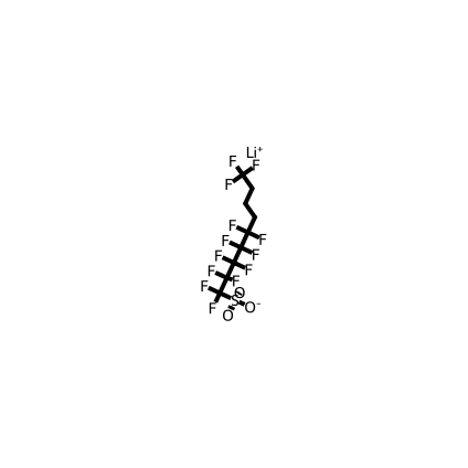 O=S(=O)([O-])C(F)(F)C(F)(F)C(F)(F)C(F)(F)C(F)(F)CCCC(F)(F)F.[Li+]